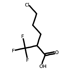 O=C(O)C(CCCCl)C(F)(F)F